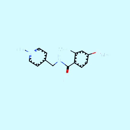 CCCCCCCCCCOc1ccc(C(=O)NCc2cc[n+](CCC)cc2)c(OC)c1.[I-]